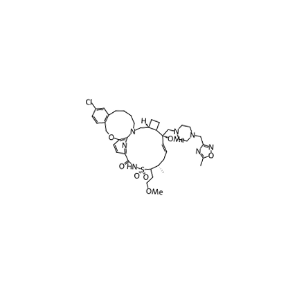 COCCC1[C@@H](C)C/C=C/[C@](CN2CCN(Cc3noc(C)n3)CC2)(OC)C2CC[C@H]2CN2CCCCc3cc(Cl)ccc3COc3ccc(nc32)C(=O)NS1(=O)=O